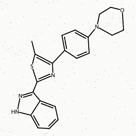 Cc1sc(-c2n[nH]c3ccccc23)nc1-c1ccc(N2CCOCC2)cc1